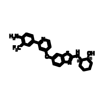 Nc1ccc(-c2cc(Oc3ccc4nc(N[C@@H]5CCCC[C@H]5O)sc4c3)ccn2)cc1C(F)(F)F